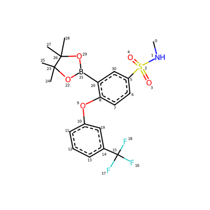 CNS(=O)(=O)c1ccc(Oc2cccc(C(F)(F)F)c2)c(B2OC(C)(C)C(C)(C)O2)c1